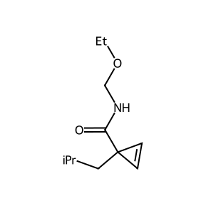 CCOCNC(=O)C1(CC(C)C)C=C1